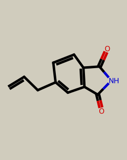 C=CCc1ccc2c(c1)C(=O)NC2=O